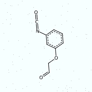 O=C=Nc1cccc(OCC=O)c1